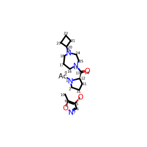 CC(=O)N1C[C@@H](Oc2cnoc2C)C[C@@H]1C(=O)N1CCCN(C2CCC2)CC1